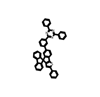 c1ccc(-c2nc(-c3ccccc3)nc(-c3cccc(-c4ccc5c(c4)C4(c6ccccc6-c6ccccc64)c4cc(-c6ccccc6)sc4-5)c3)n2)cc1